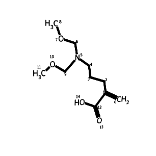 C=C(CCCN(COC)COC)C(=O)O